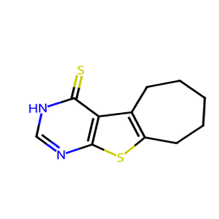 S=c1[nH]cnc2sc3c(c12)CCCCC3